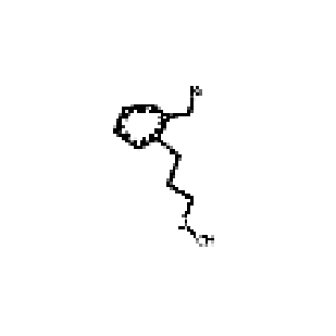 COCCCc1ccccc1CBr